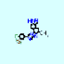 CC1Cc2c(ccc3[nH]ncc23)-c2c1nc1cnc(-c3ccc(F)c(S(F)(F)F)c3)cn21